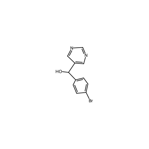 OC(c1ccc(Br)cc1)c1cncnc1